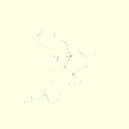 NC1(Cc2ccccc2)C=C(F)C=C(Nc2ccc(F)cc2)C1Br